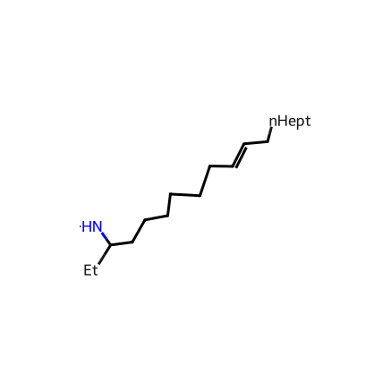 CCCCCCCCC=CCCCCCCC([NH])CC